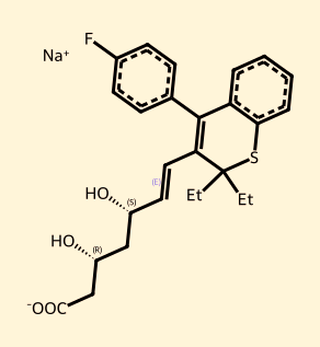 CCC1(CC)Sc2ccccc2C(c2ccc(F)cc2)=C1/C=C/[C@@H](O)C[C@@H](O)CC(=O)[O-].[Na+]